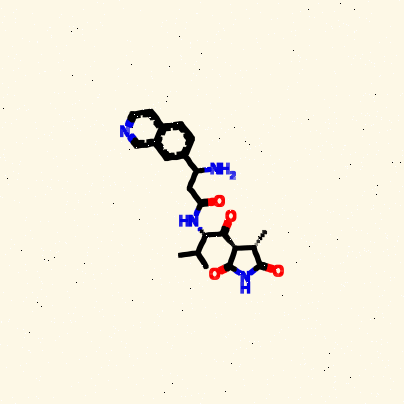 CC(C)[C@H](NC(=O)CC(N)c1ccc2ccncc2c1)C(=O)[C@@H]1C(=O)NC(=O)[C@H]1C